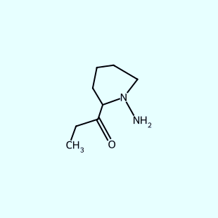 CCC(=O)C1CCCCN1N